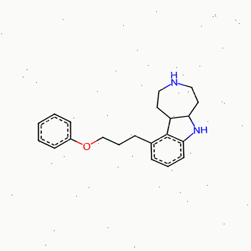 c1ccc(OCCCc2cccc3c2C2CCNCCC2N3)cc1